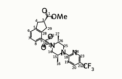 COC(=O)[C@@H]1Cc2cccc(S(=O)(=O)N3C[C@H](C)N(c4ccc(C(F)(F)F)cn4)C[C@@H]3C)c2C1